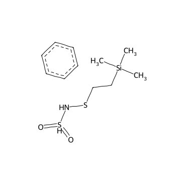 C[Si](C)(C)CCSN[SH](=O)=O.c1ccccc1